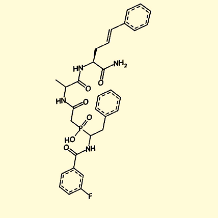 CC(NC(=O)CP(=O)(O)C(Cc1ccccc1)NC(=O)c1cccc(F)c1)C(=O)N[C@@H](CC=Cc1ccccc1)C(N)=O